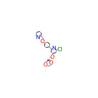 Clc1cc(OC[C@H]2COCCO2)cc(-c2ccc(OCc3ccccn3)cc2)n1